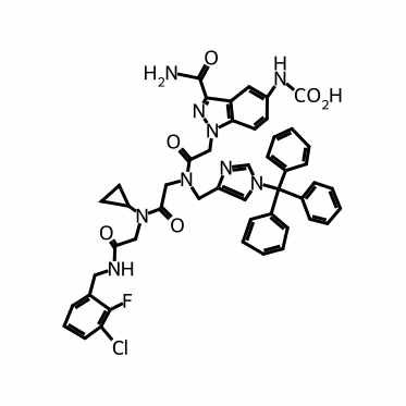 NC(=O)c1nn(CC(=O)N(CC(=O)N(CC(=O)NCc2cccc(Cl)c2F)C2CC2)Cc2cn(C(c3ccccc3)(c3ccccc3)c3ccccc3)cn2)c2ccc(NC(=O)O)cc12